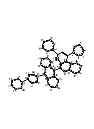 C1=C(c2ccccc2)c2c(c(-c3c4ccccc4c(-c4ccc(-c5ccccc5)cc4)c4ccccc34)cc3ccccc23)NC1c1ccccc1